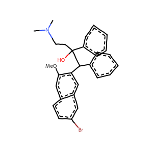 COc1cc2ccc(Br)cc2cc1C(c1ccccc1)C(O)(CCN(C)C)c1ccccc1